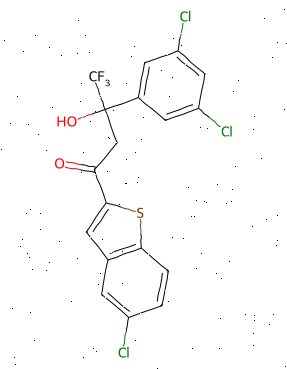 O=C(CC(O)(c1cc(Cl)cc(Cl)c1)C(F)(F)F)c1cc2cc(Cl)ccc2s1